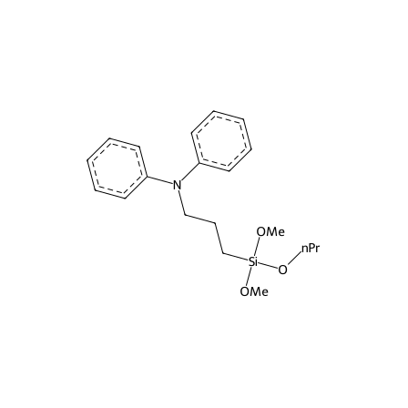 CCCO[Si](CCCN(c1ccccc1)c1ccccc1)(OC)OC